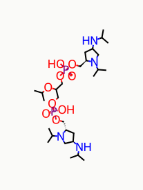 CC(C)NC1C[C@H](COP(=O)(O)OCC(COP(=O)(O)OC[C@@H]2C[C@@H](NC(C)C)CN2C(C)C)OC(C)C)N(C(C)C)C1